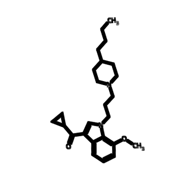 CCCCC1CCN(CCCn2cc(C(=O)C3CC3)c3cccc(OC)c32)CC1